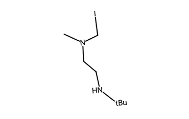 CN(CI)CCNC(C)(C)C